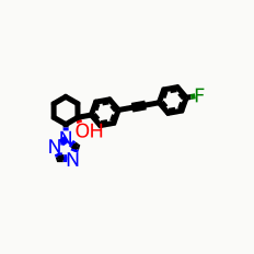 OC1(c2ccc(C#Cc3ccc(F)cc3)cc2)CCCCC1n1cncn1